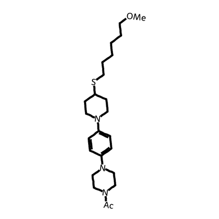 COCCCCCCSC1CCN(c2ccc(N3CCN(C(C)=O)CC3)cc2)CC1